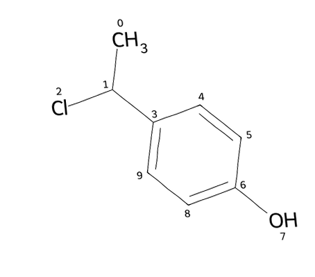 CC(Cl)c1ccc(O)cc1